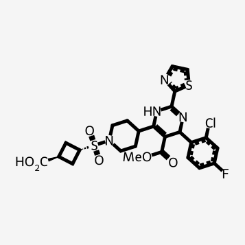 COC(=O)C1=C(C2CCN(S(=O)(=O)[C@H]3C[C@H](C(=O)O)C3)CC2)NC(c2nccs2)=NC1c1ccc(F)cc1Cl